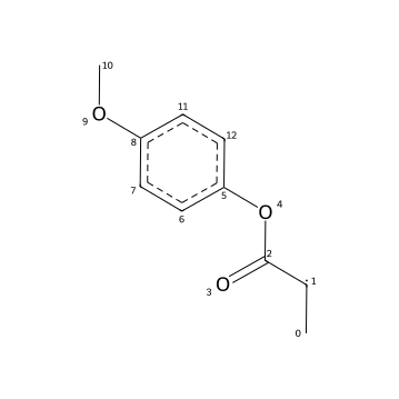 C[CH]C(=O)Oc1ccc(OC)cc1